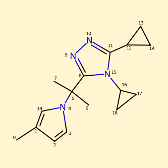 Cc1ccn(C(C)(C)c2nnc(C3CC3)n2C2CC2)c1